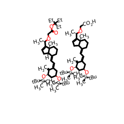 C=C1C(=CC=C2CCC[C@]3(C)C([C@H](C)OCC(=O)O)=CCC23)C[C@@H](O[Si](C)(C)C(C)(C)C)C[C@@H]1O[Si](C)(C)C(C)(C)C.C=C1C(=CC=C2CCC[C@]3(C)C([C@H](C)OCC(=O)OC(CC)(CC)CC)=CC[C@@H]23)C[C@@H](O[Si](C)(C)C(C)(C)C)C[C@@H]1O[Si](C)(C)C(C)(C)C